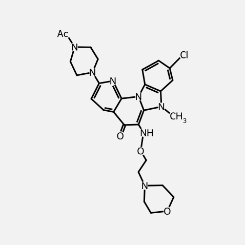 CC(=O)N1CCN(c2ccc3c(=O)c(NOCCN4CCOCC4)c4n(C)c5cc(Cl)ccc5n4c3n2)CC1